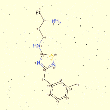 CCC(N)CCNc1nc(Cc2cccc(C)c2)ns1